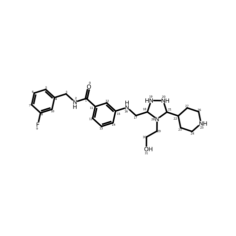 O=C(NCc1cccc(F)c1)c1cccc(NCC2NNC(C3CCNCC3)N2CCO)c1